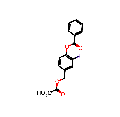 O=C(O)C(=O)OCc1ccc(OC(=O)c2ccccc2)c(I)c1